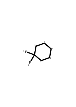 FC1(F)[CH]CC[CH]C1